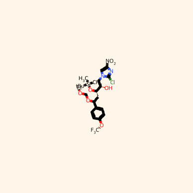 CCOCOC(C[C@H](O[Si](C)(C)C(C)(C)C)[C@@H](O)Cn1cc([N+](=O)[O-])nc1Cl)c1ccc(OC(F)(F)F)cc1